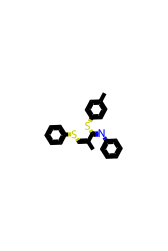 CC(=CSc1ccccc1)C(=Nc1ccccc1)Sc1ccc(C)cc1